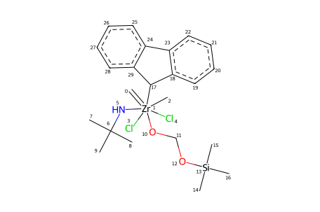 [CH2]=[Zr]([CH3])([Cl])([Cl])([NH]C(C)(C)C)([O]CO[Si](C)(C)C)[CH]1c2ccccc2-c2ccccc21